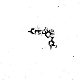 BC(B)(NCC1(F)CCN(C(=O)c2ccc(F)c(Cl)c2)C(B)(B)C1(B)B)c1ncc(C)cn1